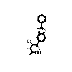 CC[C@H]1C(c2ccc3nc(-c4ccccc4)oc3c2)=NNC(=O)[C@@H]1C